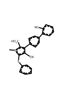 Cn1c(Sc2ccccc2)c(C#N)c(-c2ccc(-c3ccccc3C#N)cc2)c1C(=O)O